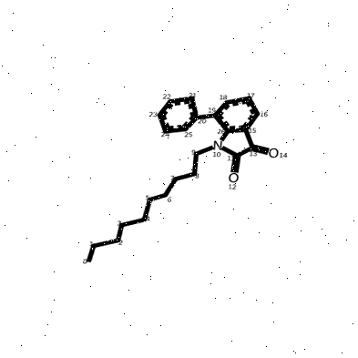 CCCCCCCCCCN1C(=O)C(=O)c2cccc(-c3ccccc3)c21